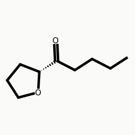 CCCCC(=O)[C@H]1CCCO1